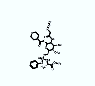 CC(=O)O[C@H]1[C@H](OC(C)=O)[C@@H](COP(=O)(N[C@@H](C)C(=O)OC(C)C)Oc2ccccc2)OC(OC(=O)C2CCOCC2)[C@H]1NC(=O)CN=[N+]=[N-]